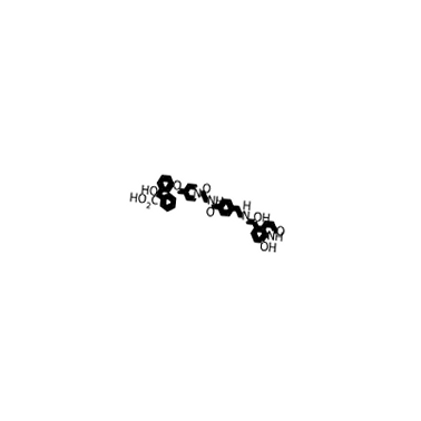 O=C(NCC(=O)N1CCC(COc2cccc(C(O)(C(=O)O)c3ccccc3)c2)CC1)c1ccc(CCNCC(O)c2ccc(O)c3[nH]c(=O)ccc23)cc1